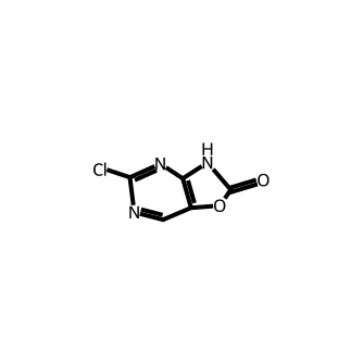 O=c1[nH]c2nc(Cl)ncc2o1